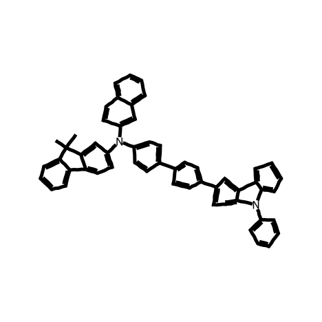 CC1(C)c2ccccc2-c2ccc(N(c3ccc(-c4ccc(-c5ccc6c(c5)c5ccccc5n6-c5ccccc5)cc4)cc3)c3ccc4ccccc4c3)cc21